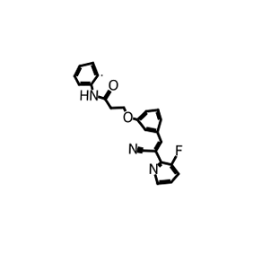 N#CC(=Cc1cccc(OCCC(=O)Nc2[c]cccc2)c1)c1ncccc1F